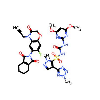 C#CCN1C(=O)COc2cc(F)c(N3C(=O)C4=C(CCCC4)C3=O)cc21.COc1cc(OC)nc(NC(=O)NS(=O)(=O)c2c(-c3nnn(C)n3)cnn2C)n1